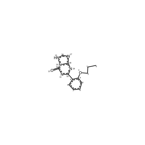 CCCOc1ccccc1-c1nc(=O)n2[nH]cnc2n1